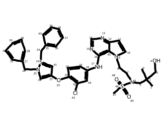 CC(C)(CO)CN(CCn1ccc2ncnc(Nc3ccc(OC4=CN(Cc5ccccc5)S(Cc5ccccc5)=C4)c(Cl)c3)c21)S(C)(=O)=O